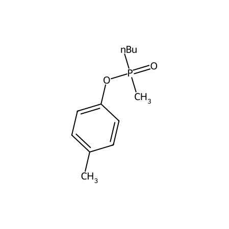 CCCCP(C)(=O)Oc1ccc(C)cc1